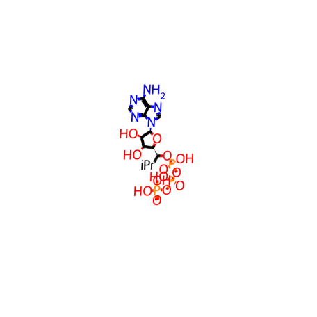 CC(C)C(OP(=O)(O)OP(=O)(O)OP(=O)(O)O)[C@H]1O[C@@H](n2cnc3c(N)ncnc32)[C@H](O)[C@@H]1O